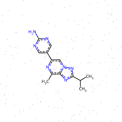 Cc1nc(-c2cnc(N)nc2)cn2nc(C(C)C)nc12